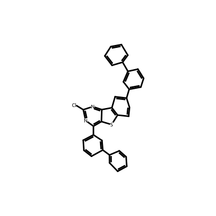 Clc1nc(-c2cccc(-c3ccccc3)c2)c2sc3ccc(-c4cccc(-c5ccccc5)c4)cc3c2n1